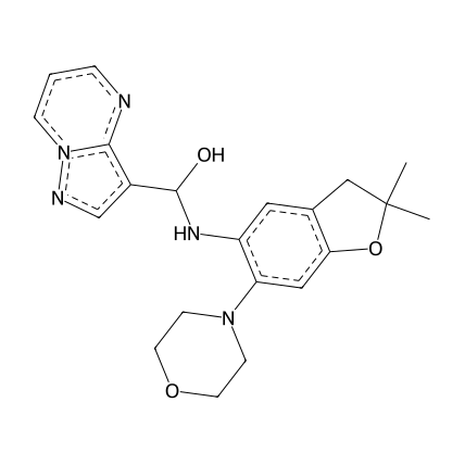 CC1(C)Cc2cc(NC(O)c3cnn4cccnc34)c(N3CCOCC3)cc2O1